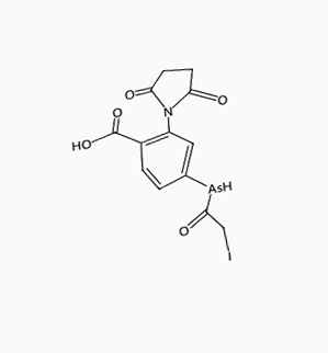 O=C(CI)[AsH]c1ccc(C(=O)O)c(N2C(=O)CCC2=O)c1